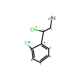 CC(=O)CC(Cl)c1ccccc1F